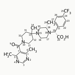 Cc1ncnc(C)c1C(=O)N1CCC(C)(N2CCN([C@@H](C(=O)O)c3ccc(C(F)(F)F)cc3)[C@@H](C)C2)CC1